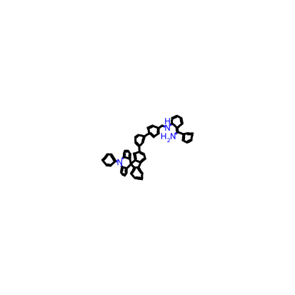 N/C(=C1/C=CC=CC1NCc1ccc(-c2cccc(-c3ccc4c(c3)C3(c5ccccc5-4)c4ccccc4N(c4ccccc4)c4ccccc43)c2)cc1)c1ccccc1